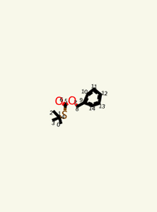 CC(C)(C)SC(=O)OCc1ccccc1